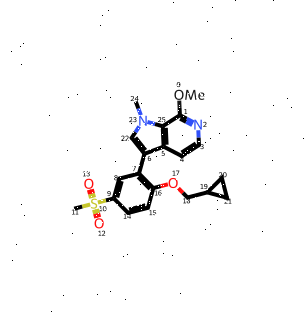 COc1nccc2c(-c3cc(S(C)(=O)=O)ccc3OCC3CC3)cn(C)c12